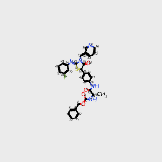 C[C@H](NC(=O)OCc1ccccc1)C(=O)Nc1ccc(C2S/C(=N\c3cccc(F)c3)N(Cc3cccnc3)C2=O)cc1